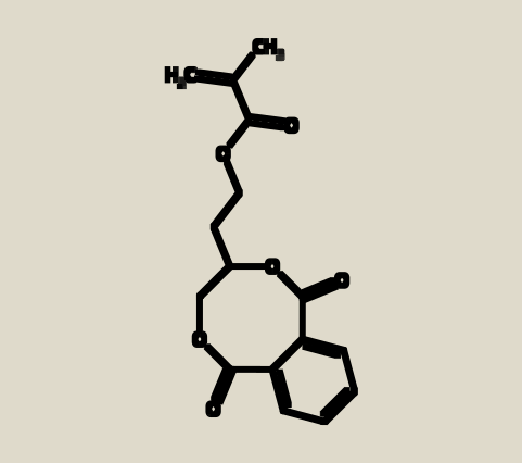 C=C(C)C(=O)OCCC1COC(=O)c2ccccc2C(=O)O1